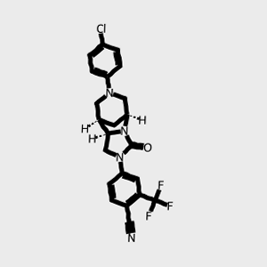 N#Cc1ccc(N2C[C@H]3[C@@H]4C[C@@H](CN(c5ccc(Cl)cc5)C4)N3C2=O)cc1C(F)(F)F